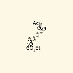 CCOC(=O)COC(=O)CCCCCC(=O)OCC(C)=O